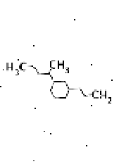 C=CCC1CCCC(C(C)CCC)C1